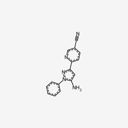 N#Cc1ccc(-c2cc(N)n(-c3ccccc3)n2)nc1